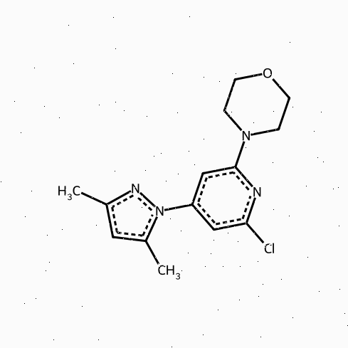 Cc1cc(C)n(-c2cc(Cl)nc(N3CCOCC3)c2)n1